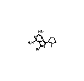 Br.Nc1nccn2c(C3CCCN3)nc(Br)c12